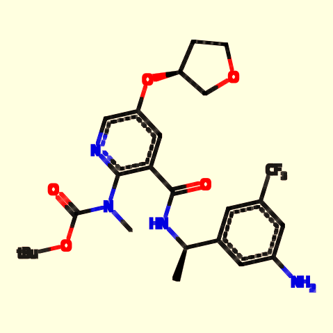 C[C@@H](NC(=O)c1cc(O[C@H]2CCOC2)cnc1N(C)C(=O)OC(C)(C)C)c1cc(N)cc(C(F)(F)F)c1